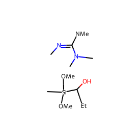 CCC(O)[Si](C)(OC)OC.CN=C(NC)N(C)C